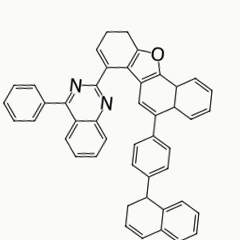 C1=CC2C(c3ccc(C4CC=Cc5ccccc54)cc3)=Cc3c(oc4c3C(c3nc(-c5ccccc5)c5ccccc5n3)=CCC4)C2C=C1